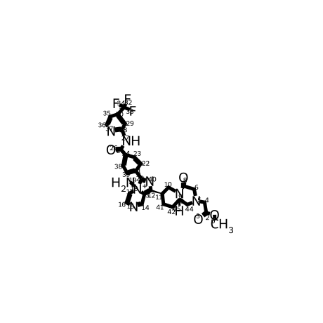 COC(=O)CN1CC(=O)N2C[C@H](C3=C4C=NC=C[N+]4(N)C(c4ccc(C(=O)Nc5cc(C(F)(F)F)ccn5)cc4)=N3)CC[C@H]2C1